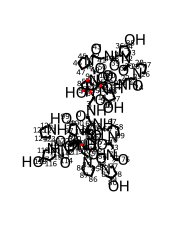 O=C(NCC(=O)N1CCC[C@H]1C(=O)N1C[C@H](O)C[C@H]1C(=O)NCC(=O)N1CCC[C@H]1C(=O)N1C[C@H](O)C[C@H]1C(=O)NCC(=O)N1CCC[C@H]1C(=O)N1C[C@H](O)C[C@H]1C(=O)O)[C@H](CS)NC(=O)[C@@H]1CCCN1C(=O)CNC(=O)[C@@H]1C[C@@H](O)CN1C(=O)[C@@H]1CCCN1C(=O)CNC(=O)[C@@H]1C[C@@H](O)CN1C(=O)[C@@H]1CCCN1C(=O)CNC(=O)[C@@H]1C[C@@H](O)CN1C(=O)[C@@H]1CCCN1